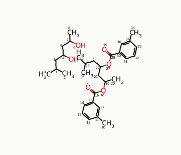 CC(C)CC(O)CC(C)O.Cc1cccc(C(=O)OC(C)CC(CC(C)C)OC(=O)c2cccc(C)c2)c1